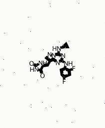 O=C1NC(=O)/C(=C/c2cnn3c(NC4CC4)nc(Nc4ccc(F)cc4F)nc23)N1